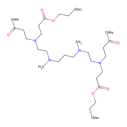 CCCCCCCCCCCCOC(=O)CCN(CCC(=O)OC)CCN(C)CCCN(C)CCN(CCC(=O)OC)CCC(=O)OCCCCCCCCCCCC